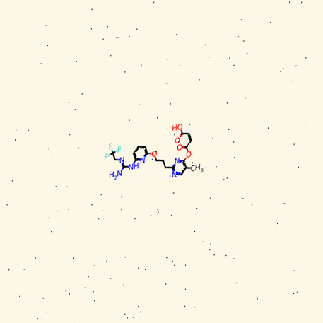 Cc1cnc(CCCOc2cccc(NC(N)=NCC(F)(F)F)n2)nc1OC(=O)/C=C\C(=O)O